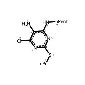 CCCCCNc1nc(SCCC)nc(Cl)c1N